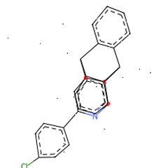 Clc1ccc(-c2cc3c(cn2)C2c4ccccc4C3c3ccccc32)cc1